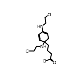 O=C(Cl)CCCC1(NCCCl)C=CC(NCCCl)=CC1